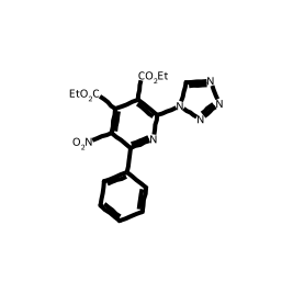 CCOC(=O)c1c(-n2cnnn2)nc(-c2ccccc2)c([N+](=O)[O-])c1C(=O)OCC